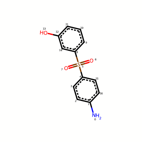 Nc1ccc(S(=O)(=O)c2cc[c]c(O)c2)cc1